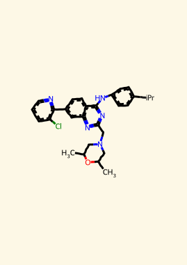 CC1CN(Cc2nc(Nc3ccc(C(C)C)cc3)c3ccc(-c4ncccc4Cl)cc3n2)CC(C)O1